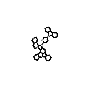 c1ccc2c(c1)ccc1c3c4c5ccccc5n5c6ccccc6c(cc3n(-c3ccc(-n6c7ccccc7c7ccncc76)cn3)c21)c45